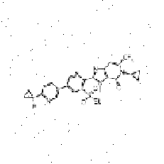 CCS(=O)(=O)c1cc(-c2ccc(C3(F)CC3)nc2)cnc1-c1nc2cc(C(F)(F)F)n(C3CC3)c(=O)c2n1C